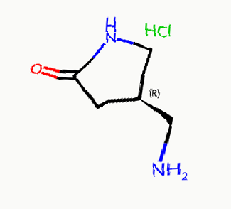 Cl.NC[C@@H]1CNC(=O)C1